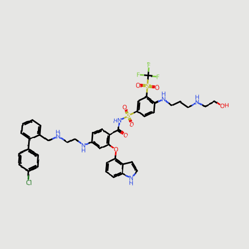 O=C(NS(=O)(=O)c1ccc(NCCCNCCO)c(S(=O)(=O)C(F)(F)F)c1)c1ccc(NCCNCc2ccccc2-c2ccc(Cl)cc2)cc1Oc1cccc2[nH]ccc12